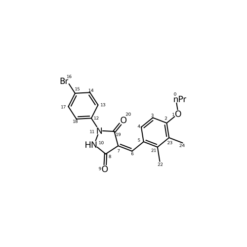 CCCOc1ccc(C=C2C(=O)NN(c3ccc(Br)cc3)C2=O)c(C)c1C